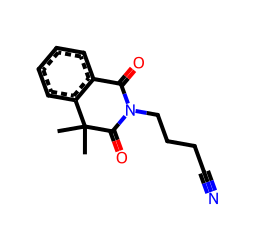 CC1(C)C(=O)N(CCCC#N)C(=O)c2ccccc21